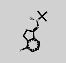 CC(C)(C)[S@@+]([O-])/N=C1\CCc2c(Br)cccc21